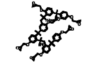 CCCCCCC(C)(Cc1cc(C(C)(C)c2ccc(OCC3CO3)cc2C(C)(CCC)Cc2cc(OCC3CO3)ccc2C(C)(C)c2ccc(OCC3CO3)cc2)ccc1OCC1CO1)c1cc(C(C)(C)c2ccc(OCC3CO3)cc2)ccc1OCC1CO1